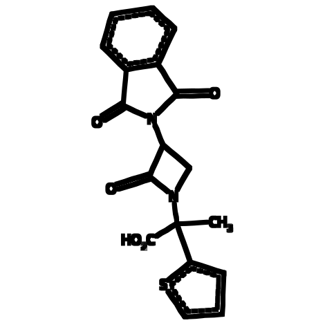 CC(C(=O)O)(c1cccs1)N1CC(N2C(=O)c3ccccc3C2=O)C1=O